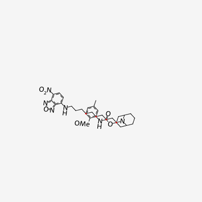 COc1ccc(C)cc1NC(=O)OC1CC2CCCC(C1)N2CCCCCCCCCCNc1ccc([N+](=O)[O-])c2nonc12